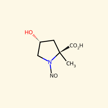 C[C@@]1(C(=O)O)C[C@@H](O)CN1N=O